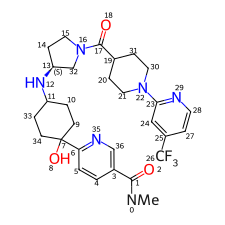 CNC(=O)c1ccc(C2(O)CCC(N[C@H]3CCN(C(=O)C4CCN(c5cc(C(F)(F)F)ccn5)CC4)C3)CC2)nc1